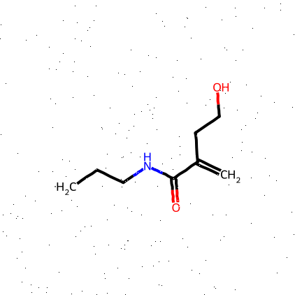 [CH2]CCNC(=O)C(=C)CCO